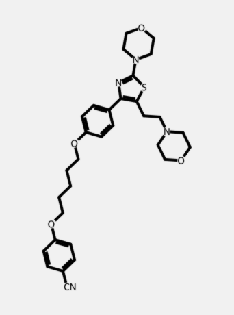 N#Cc1ccc(OCCCCCOc2ccc(-c3nc(N4CCOCC4)sc3CCN3CCOCC3)cc2)cc1